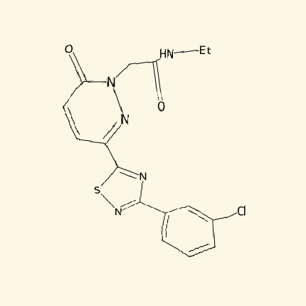 CCNC(=O)Cn1nc(-c2nc(-c3cccc(Cl)c3)ns2)ccc1=O